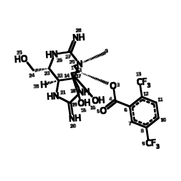 C[C@H]1[C@H](OC(=O)c2cc(C(F)(F)F)ccc2C(F)(F)F)C(O)(O)C23NC(=N)N[C@H]2[C@H](CO)NC(=N)N13